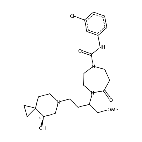 COCC(CCN1CCC2(CC2)[C@H](O)C1)N1CCN(C(=O)Nc2cccc(Cl)c2)CCC1=O